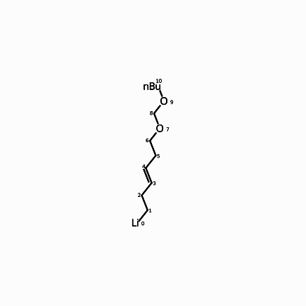 [Li][CH2]CC=CCCOCOCCCC